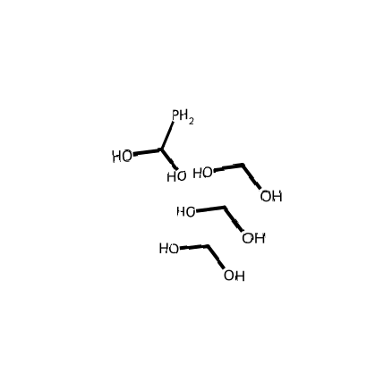 OC(O)P.OCO.OCO.OCO